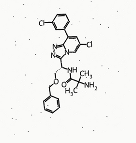 CC(C)(N)C(=O)N[C@H](COCc1ccccc1)c1nnc2c(-c3cccc(Cl)c3)cc(Cl)cn12